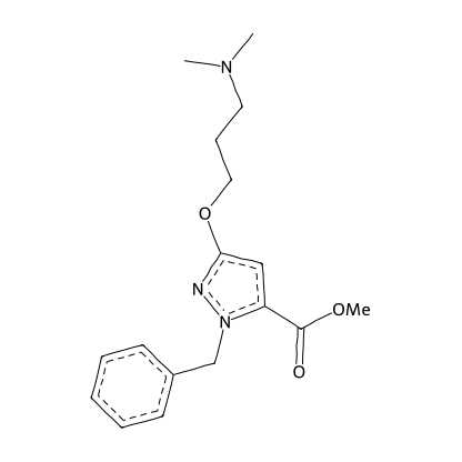 COC(=O)c1cc(OCCCN(C)C)nn1Cc1ccccc1